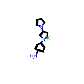 Cl.Nc1ccc(N2C=C(N3C=CCC3)CC2)cc1